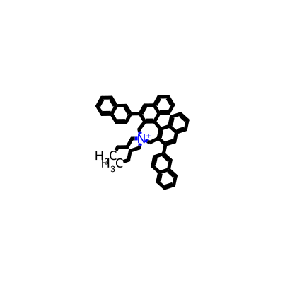 CCCC[N+]1(CCCC)Cc2c(-c3ccc4ccccc4c3)cc3ccccc3c2-c2c(c(-c3ccc4ccccc4c3)cc3ccccc23)C1